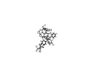 CCNC1COC2OCCC(N(C(=O)O)C(Cc3ccccc3)[C@H](O)CN(CC(C)C)S(=O)(=O)c3ccc4nc(NC(C)C)sc4c3)C12